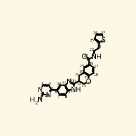 Nc1nccc(-c2ccc3[nH]c(C4COc5ccc(C(=O)NCCc6cccs6)cc5C4)nc3c2)n1